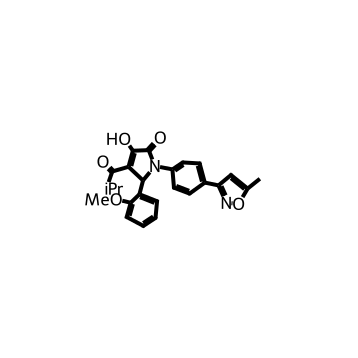 COc1ccccc1C1C(C(=O)C(C)C)=C(O)C(=O)N1c1ccc(-c2cc(C)on2)cc1